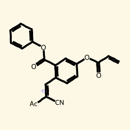 C=CC(=O)Oc1ccc(/C=C(\C#N)C(C)=O)c(C(=O)Oc2ccccc2)c1